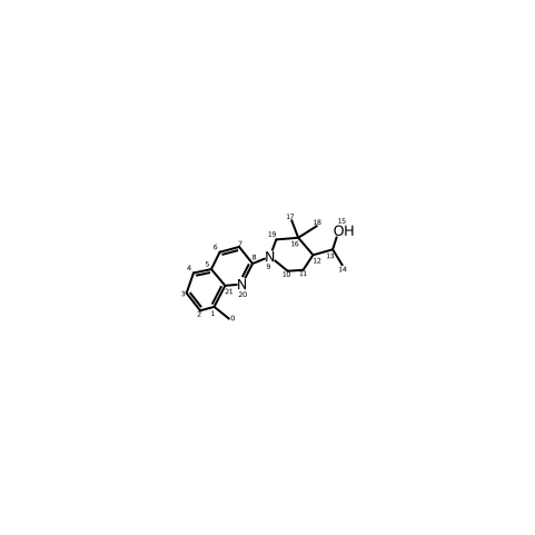 Cc1cccc2ccc(N3CCC(C(C)O)C(C)(C)C3)nc12